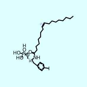 CCCCCCCC/C=C\CCCCCCCC(=O)N[C@@H](CO[PH](O)(O)O)Cc1ccc(I)cc1